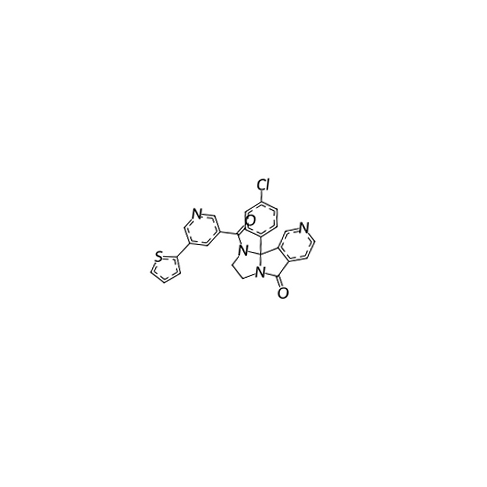 O=C(c1cncc(-c2cccs2)c1)N1CCN2C(=O)c3ccncc3C12c1ccc(Cl)cc1